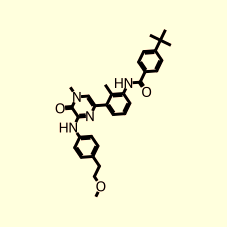 COCCc1ccc(Nc2nc(-c3cccc(NC(=O)c4ccc(C(C)(C)C)cc4)c3C)cn(C)c2=O)cc1